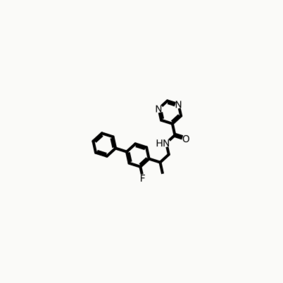 CC(CNC(=O)c1cncnc1)c1ccc(-c2ccccc2)cc1F